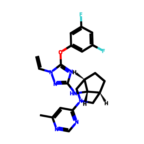 C=Cn1nc(N[C@@H]2[C@@H]3CC[C@H]2CN(c2cc(C)ncn2)C3)nc1Oc1cc(F)cc(F)c1